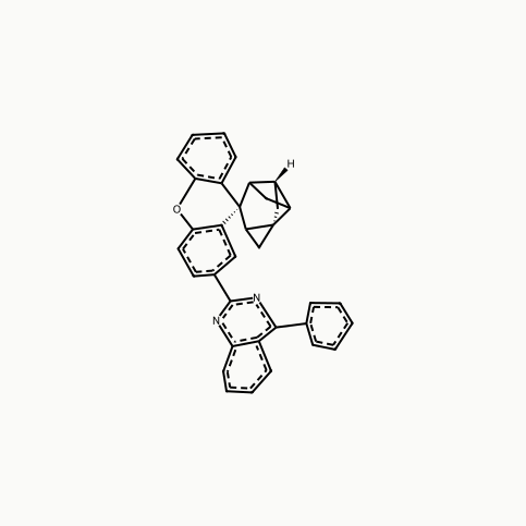 c1ccc(-c2nc(-c3ccc4c(c3)[C@]3(c5ccccc5O4)C4CC5[C@@H]4C[C@@]54CC43)nc3ccccc23)cc1